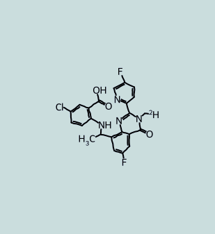 [2H]Cn1c(-c2ccc(F)cn2)nc2c(C(C)Nc3ccc(Cl)cc3C(=O)O)cc(F)cc2c1=O